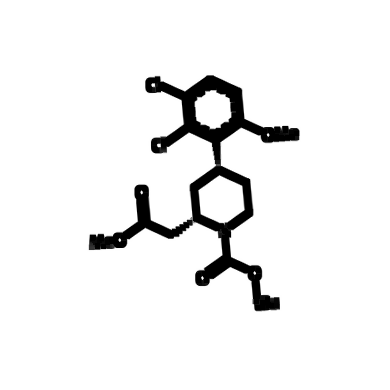 COC(=O)C[C@@H]1C[C@H](c2c(OC)ccc(Cl)c2Cl)CCN1C(=O)OC(C)(C)C